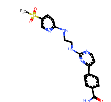 NC(=O)c1ccc(-c2ccnc(NCCNc3ccc(S(=O)(=O)C(F)(F)F)cn3)n2)cc1